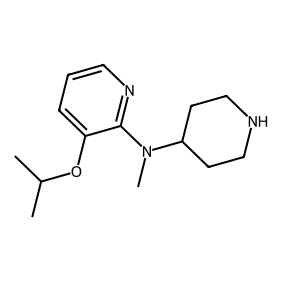 CC(C)Oc1cccnc1N(C)C1CCNCC1